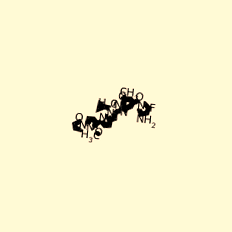 COc1nc(N2CCCC2=O)ccc1-c1ccc2cc(-c3nc4cc(C(=O)N5C[C@H](N)C[C@@H](F)C5)cc(OC)c4n3C)n(CC3CC3)c2n1